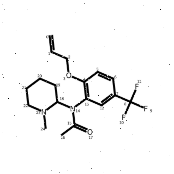 C=CCOc1ccc(C(F)(F)F)cc1N(C(C)=O)C1CCCCN1C